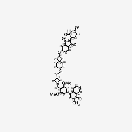 COc1cc(-c2cn(C)c(=O)c3cnccc23)cc(OC)c1CN1CC(CCN2CCC3(CC2)CC(Oc2ccc4c(c2)C(=O)N(C2CCC(=O)NC2=O)C4=O)C3)C1